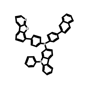 c1ccc(-n2c3ccccc3c3ccc(N(c4ccc(-c5ccc6ccccc6c5)cc4)c4ccc(-c5cccc6c5oc5ncccc56)cc4)cc32)cc1